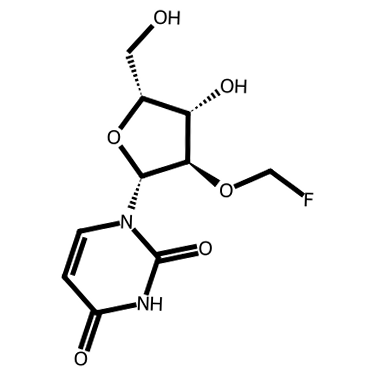 O=c1ccn([C@@H]2O[C@H](CO)[C@H](O)[C@H]2OCF)c(=O)[nH]1